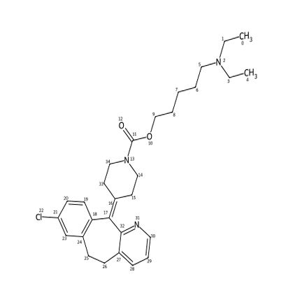 CCN(CC)CCCCCOC(=O)N1CCC(=C2c3ccc(Cl)cc3CCc3cccnc32)CC1